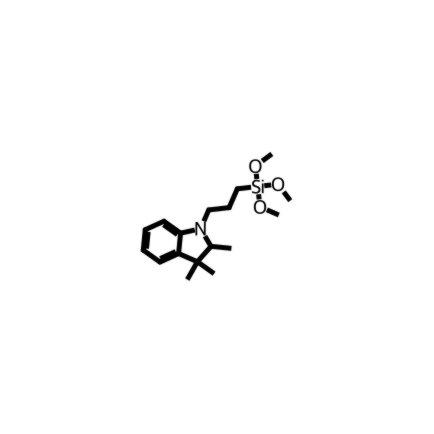 CO[Si](CCCN1c2ccccc2C(C)(C)C1C)(OC)OC